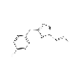 C/C=C/c1ccc(Cc2ccc(F)cc2)o1